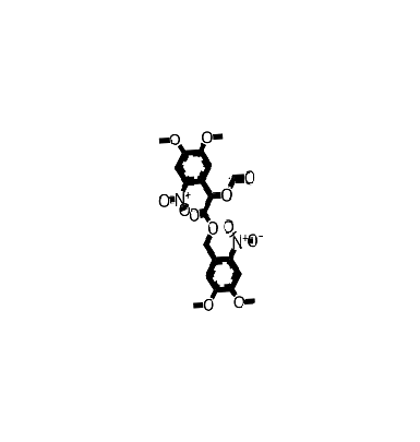 COc1cc(COC(=O)C(O[C]=O)c2cc(OC)c(OC)cc2[N+](=O)[O-])c([N+](=O)[O-])cc1OC